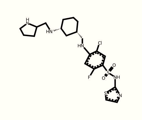 O=S(=O)(Nc1nccs1)c1cc(Cl)c(NC[C@H]2CCC[C@@H](NCC3CCCN3)C2)cc1F